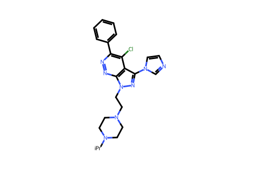 CC(C)N1CCN(CCn2nc(-n3ccnc3)c3c(Cl)c(-c4ccccc4)nnc32)CC1